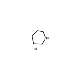 C1CCNCC1.F